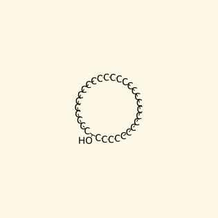 OC1CCCCCCCCCCCCCCCCCCCCCCCCCCCCC1